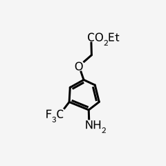 CCOC(=O)COc1ccc(N)c(C(F)(F)F)c1